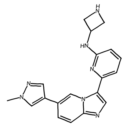 Cn1cc(-c2ccc3ncc(-c4cccc(NC5CNC5)n4)n3c2)cn1